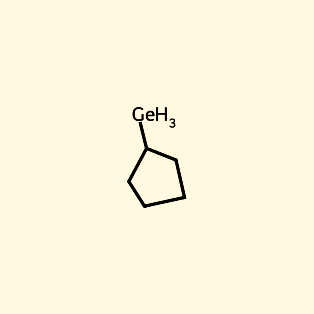 [GeH3][CH]1CCCC1